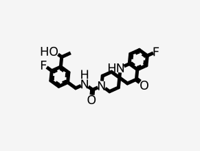 CC(O)c1cc(CNC(=O)N2CCC3(CC2)CC(=O)c2cc(F)ccc2N3)ccc1F